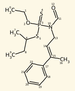 CCOP(=S)(SC(C)CC)N(C=O)CC=C(C)c1ccccc1